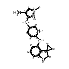 Cn1cc(N)c(Nc2ccc(Oc3cccc4c3C3(CC3)CO4)nc2)n1